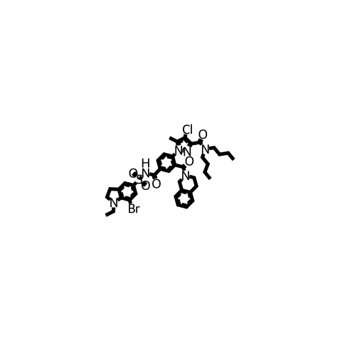 CCCCN(CCCC)C(=O)c1nn(-c2ccc(C(=O)NS(=O)(=O)c3cc(Br)c4c(c3)CCN4CC)cc2C(=O)N2CCc3ccccc3C2)c(C)c1Cl